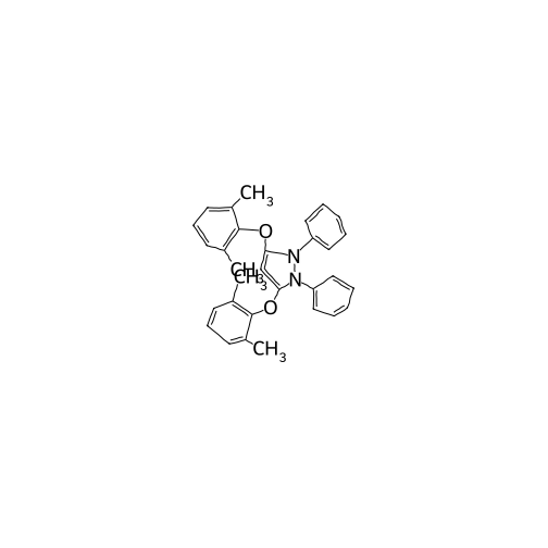 Cc1cccc(C)c1OC1=C=C(Oc2c(C)cccc2C)N(c2ccccc2)N1c1ccccc1